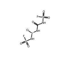 O=C(N[S+]([O-])NS(=O)(=O)F)NS(=O)(=O)F